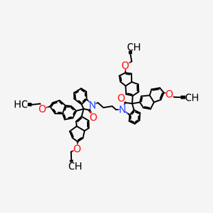 C#CCOC1=CC2C=CC(C3(C4=CC5C=CC(OCC#C)=CC5C=C4)C(=O)N(CCCCN4C(=O)C(C5=CC6C=CC(OCC#C)=CC6C=C5)(c5ccc6cc(OCC#C)ccc6c5)c5ccccc54)c4ccccc43)=CC2C=C1